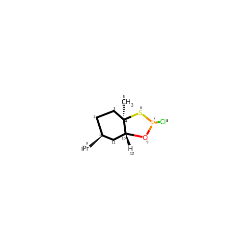 CC(C)[C@H]1CC[C@@]2(C)SP(Cl)O[C@@H]2C1